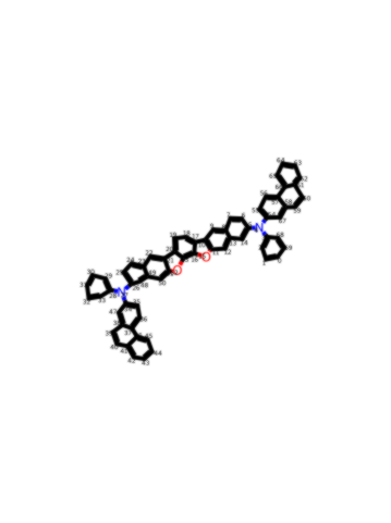 c1ccc(N(c2ccc3cc4c(cc3c2)oc2c4ccc3c4cc5ccc(N(c6ccccc6)c6ccc7c(ccc8ccccc87)c6)cc5cc4oc32)c2ccc3c(ccc4ccccc43)c2)cc1